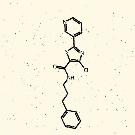 O=C(NCCCc1ccccc1)c1sc(-c2cccnc2)nc1Cl